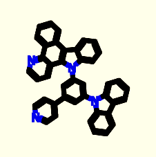 c1ccc2c(c1)c1ncccc1c1c2c2ccccc2n1-c1cc(-c2ccncc2)cc(-n2c3ccccc3c3ccccc32)c1